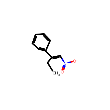 CCC(=C[N+](=O)[O-])c1ccccc1